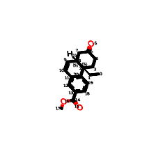 CC[C@]12CCC(=O)C[C@H]1C=Cc1cc(C(=O)OC)ccc12